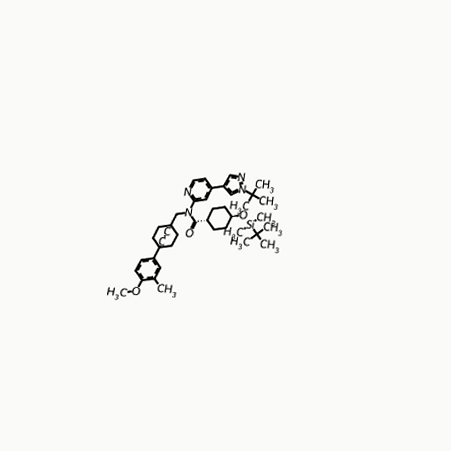 COc1ccc(C23CCC(CN(c4cc(-c5cnn(C(C)(C)C)c5)ccn4)C(=O)[C@H]4CC[C@H](O[Si](C)(C)C(C)(C)C)CC4)(CC2)CC3)cc1C